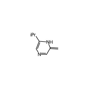 C=C1C=NC=C(C(C)C)N1